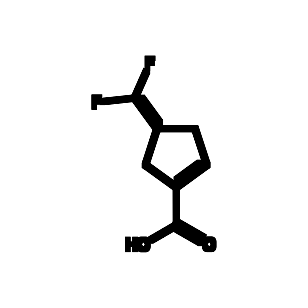 O=C(O)C1=CCC(=C(F)F)C1